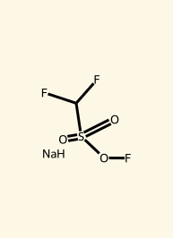 O=S(=O)(OF)C(F)F.[NaH]